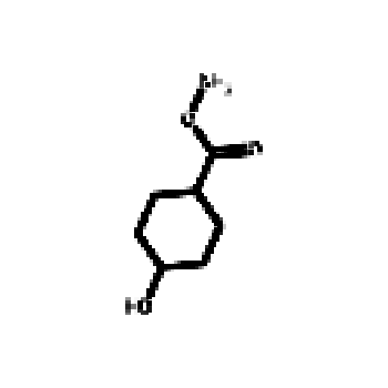 NOC(=O)C1CCC(O)CC1